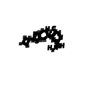 Cc1cnc(NN)nc1N1CCc2nc(C3CCC3)sc2C1